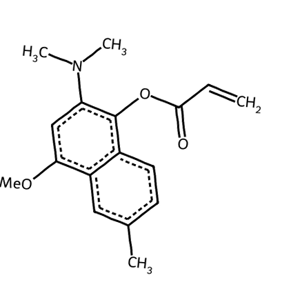 C=CC(=O)Oc1c(N(C)C)cc(OC)c2cc(C)ccc12